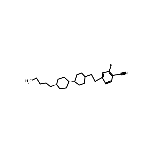 CCCCC[C@H]1CC[C@H](C2CCC(CCc3ccc(C#N)c(F)c3)CC2)CC1